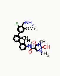 COc1cc(-c2cccc(-c3cccc(NC(=O)C4=CN(C)C(O)N(C)C4=O)c3C)c2C)cc(F)c1CN